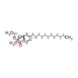 CCCCCCCCCCCCc1ccc(C(=O)C(C)(C)OCC)cc1